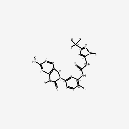 CNc1ncc2c(n1)N(C)C(=O)N(c1ccc(F)c(NC(=O)Nc3cc(C(C)(C)C)nn3C)c1)C2